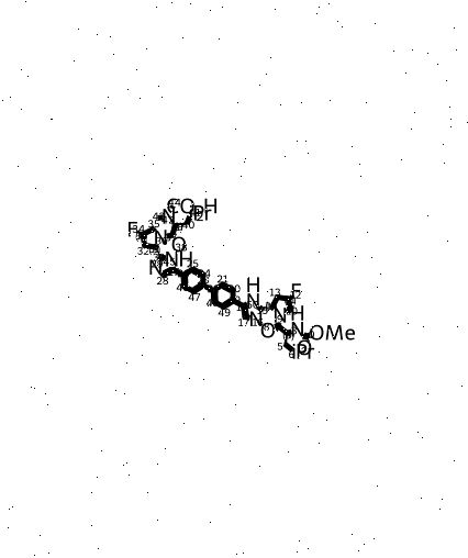 COC(=O)N[C@@H](CC(C)C)C(=O)N1C[C@H](F)C[C@H]1c1ncc(-c2ccc(-c3ccc(-c4cnc([C@@H]5C[C@@H](F)CN5C(=O)[C@H](CC(C)C)N(C)C(=O)O)[nH]4)cc3)cc2)[nH]1